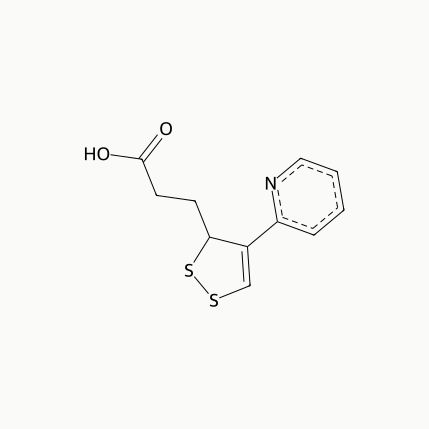 O=C(O)CCC1SSC=C1c1ccccn1